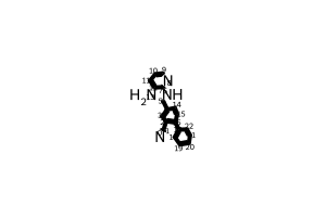 N#Cc1cc(CNc2ncccc2N)ccc1-c1ccccc1